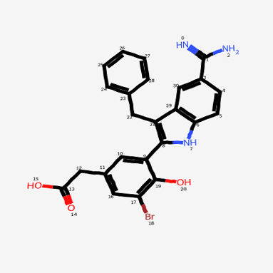 N=C(N)c1ccc2[nH]c(-c3cc(CC(=O)O)cc(Br)c3O)c(Cc3ccccc3)c2c1